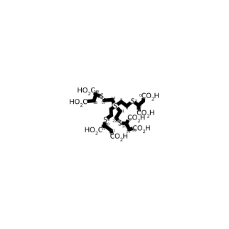 O=C(O)CC(SCCS(CCSC(CC(=O)O)C(=O)O)(CCSC(CC(=O)O)C(=O)O)CCSC(CC(=O)O)C(=O)O)C(=O)O